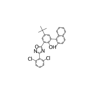 Cc1ccc2ccccc2c1-c1cc(C(C)(C)C)cc(-c2nc(-c3c(Cl)cccc3Cl)no2)c1O